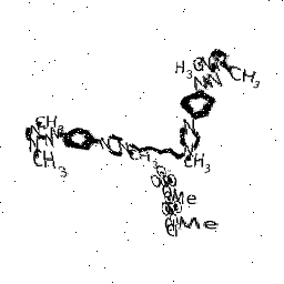 COS(=O)(=O)[O-].COS(=O)(=O)[O-].Cn1cc[n+](C)c1/N=N/c1ccc(N2CC[N+](C)(CCCCCC[N+]3(C)CCN(c4ccc(/N=N/c5n(C)cc[n+]5C)cc4)CC3)CC2)cc1.[Cl-].[Cl-]